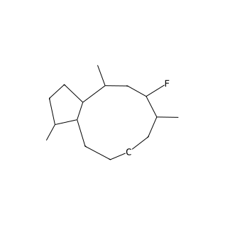 CC1CCCCC2C(C)CCC2C(C)CC1F